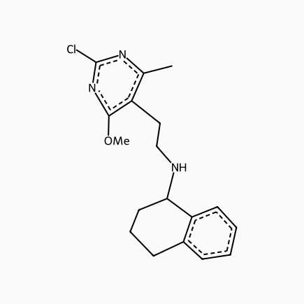 COc1nc(Cl)nc(C)c1CCNC1CCCc2ccccc21